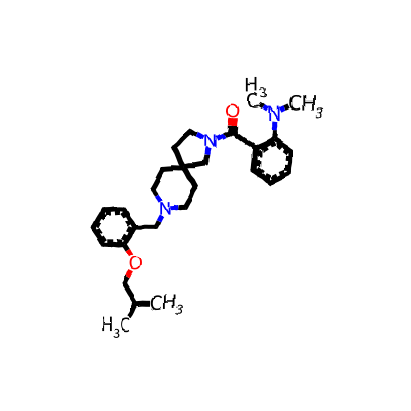 CC(C)COc1ccccc1CN1CCC2(CC1)CCN(C(=O)c1ccccc1N(C)C)C2